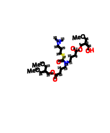 COCC(CO)COC(=O)CCCN(CCCC(=O)OCC(COC)COC)C(=O)SCCCN(C)C